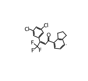 O=C(/C=C(\c1cc(Cl)cc(Cl)c1)C(F)(F)F)c1cc[c]c2c1CCC2